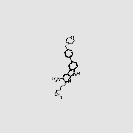 CCCCCc1nc2[nH]c3ccc(-c4ccc(CN5CCOCC5)cc4)cc3c2cc1N